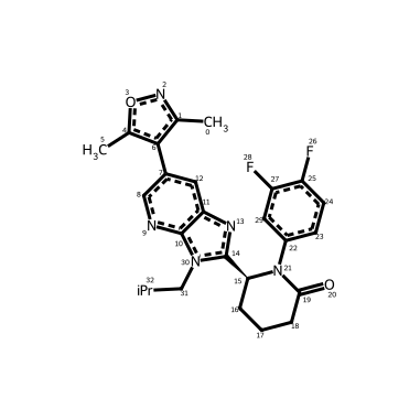 Cc1noc(C)c1-c1cnc2c(c1)nc([C@@H]1CCCC(=O)N1c1ccc(F)c(F)c1)n2CC(C)C